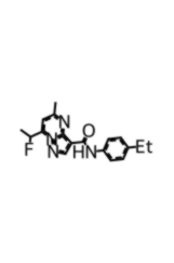 CCc1ccc(NC(=O)c2cnn3c(C(C)F)cc(C)nc23)cc1